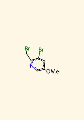 COc1cnc(CBr)c(Br)c1